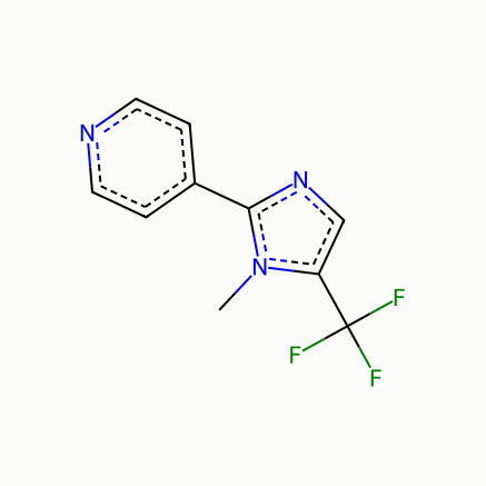 Cn1c(C(F)(F)F)cnc1-c1ccncc1